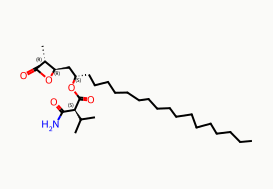 CCCCCCCCCCCCCCCCC[C@@H](C[C@H]1OC(=O)[C@@H]1C)OC(=O)[C@H](C(N)=O)C(C)C